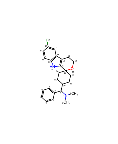 CN(C)C(c1ccccc1)C1CCC2(CC1)OCCc1c2[nH]c2ccc(F)cc12